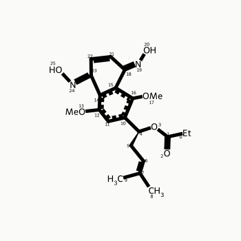 CCC(=O)O[C@@H](CC=C(C)C)c1cc(OC)c2c(c1OC)C(=NO)C=CC2=NO